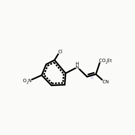 CCOC(=O)/C(C#N)=C\Nc1ccc([N+](=O)[O-])cc1Cl